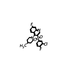 CC1CCN(c2c(S(=O)(=O)c3ccc(F)c(Cl)c3)cnc3cc(F)ccc23)CC1